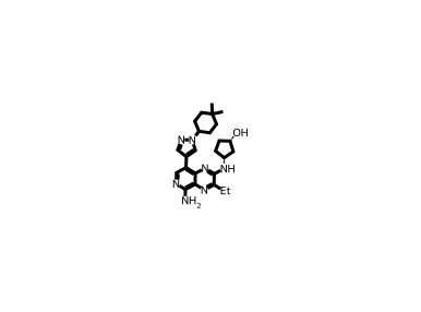 CCc1nc2c(N)ncc(-c3cnn(C4CCC(C)(C)CC4)c3)c2nc1N[C@@H]1CC[C@H](O)C1